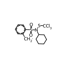 [CH2]c1ccccc1S(=O)(=O)N(SC(Cl)(Cl)Cl)C1CCCCC1